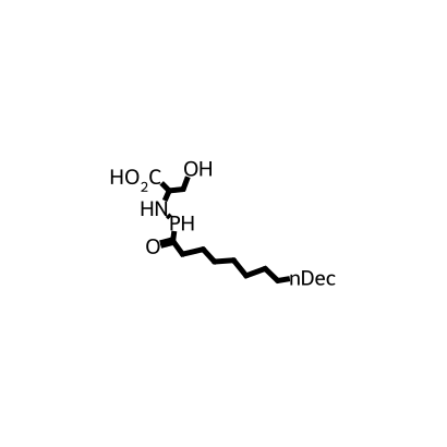 CCCCCCCCCCCCCCCCCC(=O)PNC(CO)C(=O)O